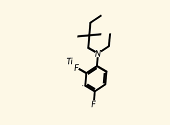 CCN(CC(C)(C)CC)c1ccc(F)[c]c1F.[Ti]